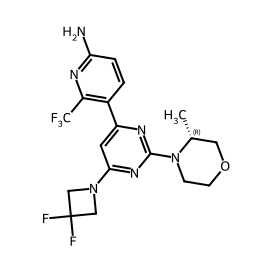 C[C@@H]1COCCN1c1nc(-c2ccc(N)nc2C(F)(F)F)cc(N2CC(F)(F)C2)n1